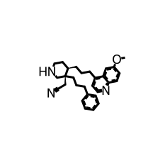 COc1ccc2nccc(CCC[C@@H]3CCNC[C@@]3(CC#N)CCCc3ccccc3)c2c1